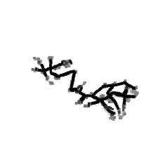 CCC1CC(C(=O)OCCCC(C)(O)C(F)(F)F)C(F)(F)C1(F)C(C)(F)F